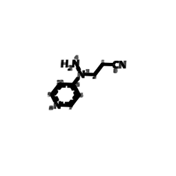 N#CCCN(N)c1ccncc1